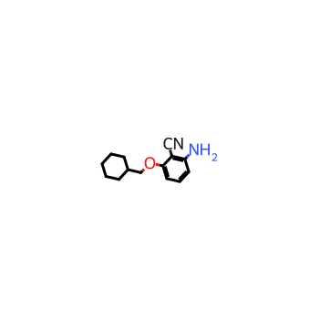 N#Cc1c(N)cccc1OCC1CCCCC1